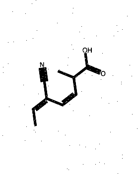 C/C=C(C#N)\C=C/C(C)C(=O)O